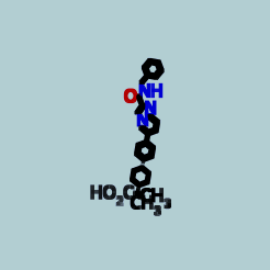 CC(C)(C(=O)O)[C@H]1CC[C@H](c2ccc(-c3ccc4nc(C(=O)NCc5ccccc5)cn4c3)cc2)CC1